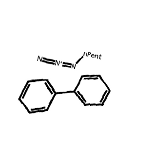 CCCCCN=[N+]=[N-].c1ccc(-c2ccccc2)cc1